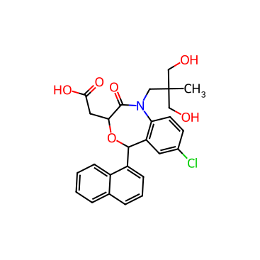 CC(CO)(CO)CN1C(=O)C(CC(=O)O)OC(c2cccc3ccccc23)c2cc(Cl)ccc21